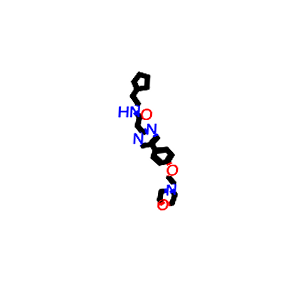 O=C(Cc1ncc(-c2ccc(OCCN3CCOCC3)cc2)cn1)NCCC1CCCC1